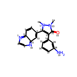 Cn1c(-c2ccc3nccnc3c2)c(-c2cccc(N)c2)c(=O)n1C